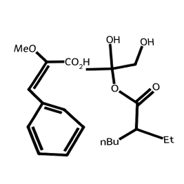 CCCCC(CC)C(=O)OC(C)(O)CO.COC(=Cc1ccccc1)C(=O)O